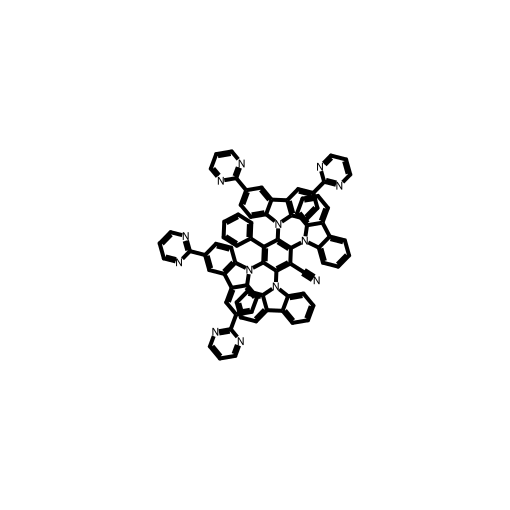 N#Cc1c(-n2c3ccccc3c3ccccc32)c(-n2c3ccc(-c4ncccn4)cc3c3cc(-c4ncccn4)ccc32)c(-c2ccccc2)c(-n2c3ccc(-c4ncccn4)cc3c3cc(-c4ncccn4)ccc32)c1-n1c2ccccc2c2ccccc21